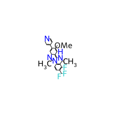 COc1cc2c(NC(C)c3cccc(C(F)F)c3F)nc(C)nc2cc1-c1ccncc1